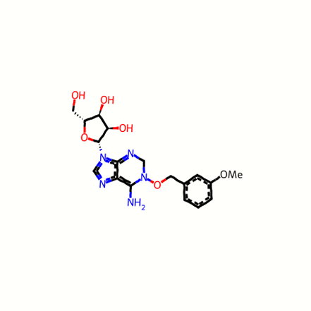 COc1cccc(CON2CN=c3c(ncn3[C@@H]3O[C@H](CO)[C@@H](O)[C@H]3O)=C2N)c1